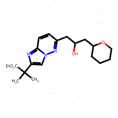 CCOC(=O)C(C)(C)c1cn2nc(CC(O)CC3CCCCO3)ccc2n1